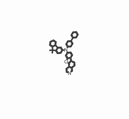 CC1(C)c2ccccc2-c2cc(N(c3ccc(-c4ccccc4)cc3)c3ccc4c(c3)oc3c5ccncc5ccc43)ccc21